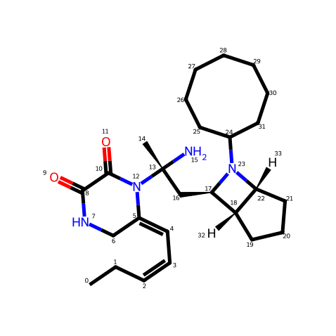 CC/C=C\C=C1/CNC(=O)C(=O)N1[C@](C)(N)C[C@@H]1[C@H]2CCC[C@H]2N1C1CCCCCCC1